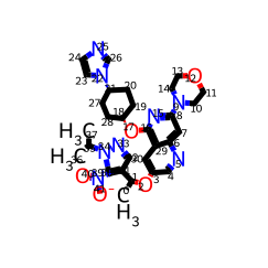 CC(Oc1cnc2cc(N3CCOCC3)nc(O[C@H]3CC[C@@H](n4ccnc4)CC3)c2c1)c1cnn(C(C)C)c1[N+](=O)[O-]